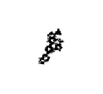 CC(Oc1nc(-c2ccc(N3CCn4cnnc4C3)cc2)cc2ncn(C3CC3)c12)[C@H]1CNC(=O)C1